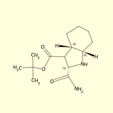 CC(C)(C)OC(=O)C1[C@@H](C(N)=O)N[C@H]2CCCC[C@@H]12